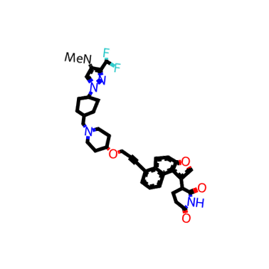 CNc1cn(C2CCC(CN3CCC(OCC#Cc4cccc5c4ccc4occ(C6CCC(=O)NC6=O)c45)CC3)CC2)nc1C(F)F